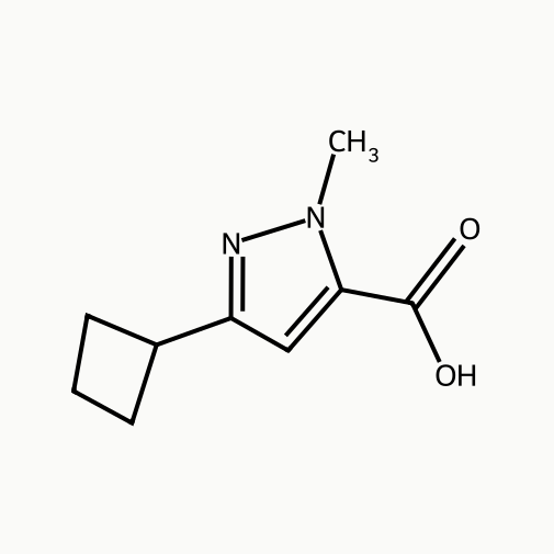 Cn1nc(C2CCC2)cc1C(=O)O